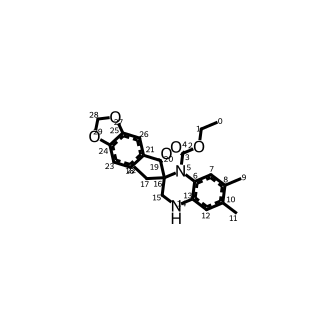 CCOC(=O)N1c2cc(C)c(C)cc2NCC1(CC)C(=O)c1ccc2c(c1)OCO2